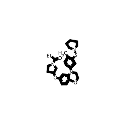 CCC(=O)N1CCC(Oc2ccc3c(c2)N(c2ccc(C)c(SN4CCCCC4)c2)CCO3)C1